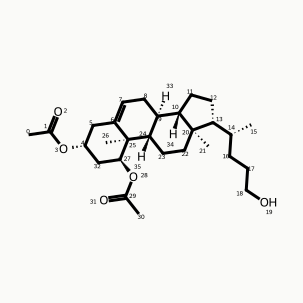 CC(=O)O[C@@H]1CC2=CC[C@H]3[C@@H]4CC[C@H]([C@H](C)CCCO)[C@@]4(C)CC[C@@H]3[C@@]2(C)[C@@H](OC(C)=O)C1